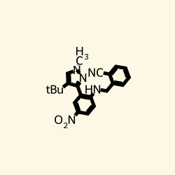 Cn1cc(C(C)(C)C)c(-c2cc([N+](=O)[O-])ccc2NCc2ccccc2C#N)n1